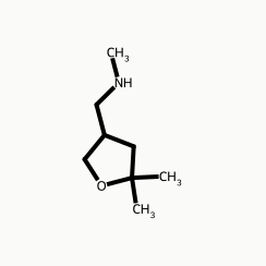 CNCC1COC(C)(C)C1